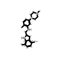 Cc1ccc(N2CCN(C)CC2)cc1NCC1Cc2c(F)ccc(C)c2N1